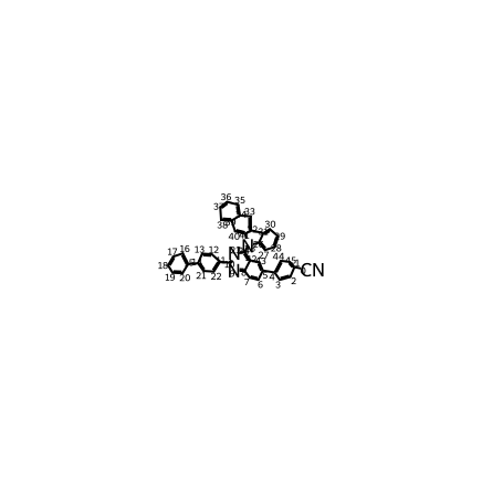 N#Cc1ccc(-c2ccc3nc(-c4ccc(-c5ccccc5)cc4)nc(-n4c5ccccc5c5cc6ccccc6cc54)c3c2)cc1